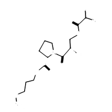 CC(N)C(=O)SC[C@@H](C)C(=O)N1CCC[C@H]1C(=O)OCCCO[N+](=O)[O-]